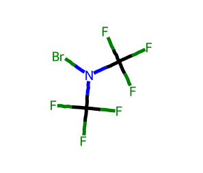 FC(F)(F)N(Br)C(F)(F)F